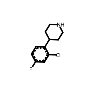 Fc1ccc(C2CCNCC2)c(Cl)c1